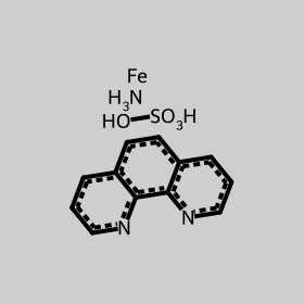 N.O=S(=O)(O)O.[Fe].c1cnc2c(c1)ccc1cccnc12